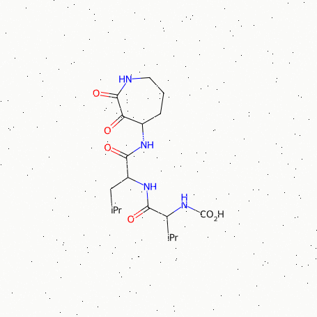 CC(C)CC(NC(=O)C(NC(=O)O)C(C)C)C(=O)NC1CCCNC(=O)C1=O